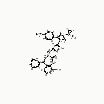 Cc1ncc(-c2sc(C3(C)CC3)nc2-c2nnc(N[C@@H]3N=C(c4ccccc4)c4cccc(F)c4NC3=O)o2)cn1